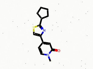 Cn1ccc(-c2csc(C3CCCC3)n2)cc1=O